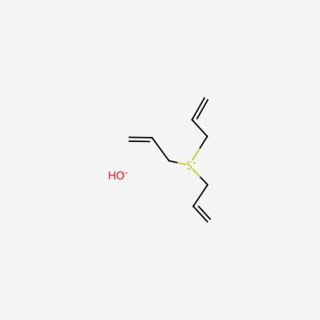 C=CC[S+](CC=C)CC=C.[OH-]